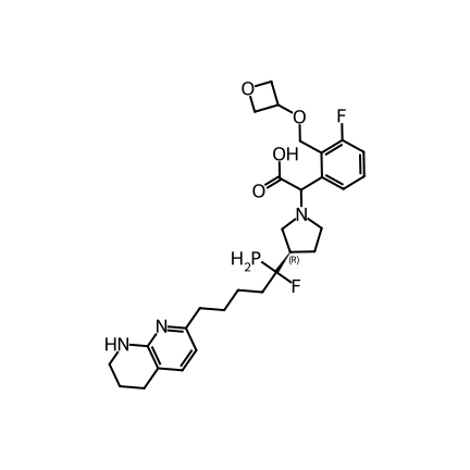 O=C(O)C(c1cccc(F)c1COC1COC1)N1CC[C@@H](C(F)(P)CCCCc2ccc3c(n2)NCCC3)C1